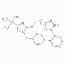 CCCc1nc(C(C)(C)C)nn1Cc1ccc(-c2cnccc2-c2nnn[nH]2)cc1